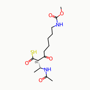 COC(=O)NCCCCCC(=O)[C@@H](C(=O)S)C(C)NC(C)=O